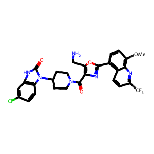 COc1ccc(-c2nc(C(=O)N3CCC(n4c(=O)[nH]c5cc(Cl)ccc54)CC3)c(CN)o2)c2ccc(C(F)(F)F)nc12